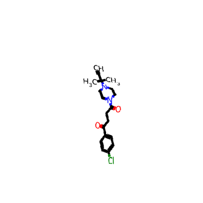 C#CC(C)(C)N1CCN(C(=O)CCC(=O)c2ccc(Cl)cc2)CC1